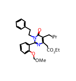 CCOC(=O)Cc1nc(-c2ccccc2OCOC)n(CCc2ccccc2)c(=O)c1CC(C)C